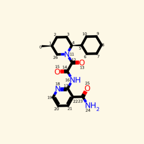 C[C@H]1CC[C@@H](C2CCCCC2)N(C(=O)C(=O)Nc2ncccc2C(N)=O)C1